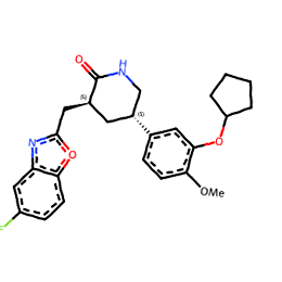 COc1ccc([C@H]2CNC(=O)[C@H](Cc3nc4cc(F)ccc4o3)C2)cc1OC1CCCC1